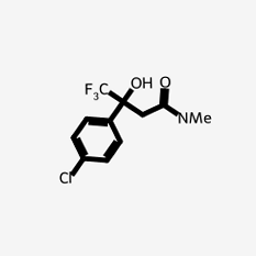 CNC(=O)CC(O)(c1ccc(Cl)cc1)C(F)(F)F